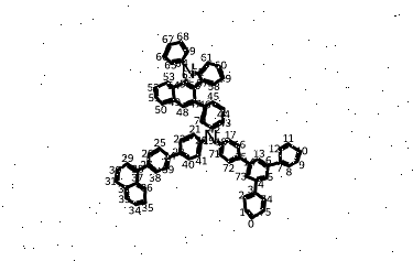 c1ccc(-c2cc(-c3ccccc3)cc(-c3ccc(N(c4ccc(-c5ccc(-c6cccc7ccccc67)cc5)cc4)c4cccc(-c5cc6ccccc6c6c5c5ccccc5n6-c5ccccc5)c4)cc3)c2)cc1